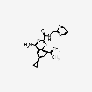 C=C(C)c1cc(C2CC2)cc2c(N)nc(C(=O)NCc3ncccn3)nc12